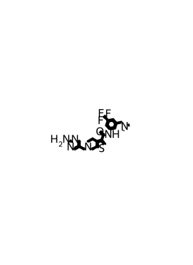 CN(C)Cc1cc(NC(=O)c2csc3c2CCN(Cc2cnc(N)nc2)C3)cc(C(F)(F)F)c1